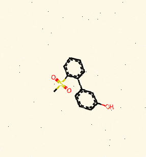 CS(=O)(=O)c1ccc[c]c1-c1cccc(O)c1